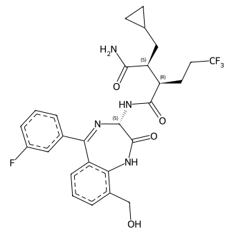 NC(=O)[C@@H](CC1CC1)[C@@H](CCC(F)(F)F)C(=O)N[C@H]1N=C(c2cccc(F)c2)c2cccc(CO)c2NC1=O